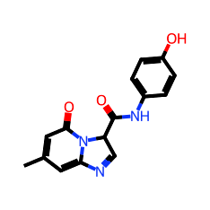 Cc1cc2n(c(=O)c1)C(C(=O)Nc1ccc(O)cc1)C=N2